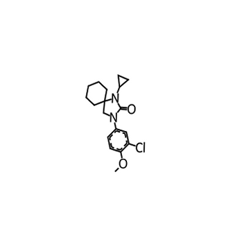 COc1ccc(N2CC3(CCCCC3)N(C3CC3)C2=O)cc1Cl